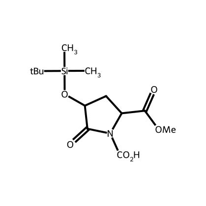 COC(=O)C1CC(O[Si](C)(C)C(C)(C)C)C(=O)N1C(=O)O